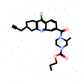 C#CCC1CCc2c(nc3cc(C(=O)N4CCN(C(=O)OCCC)CC4C)ccc3c2Cl)C1